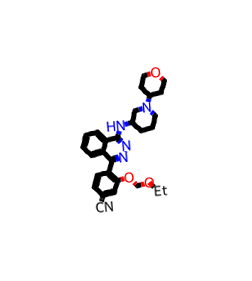 CCOCOc1cc(C#N)ccc1-c1nnc(NC2CCCN(C3CCOCC3)C2)c2ccccc12